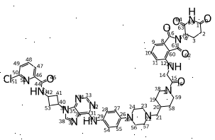 O=C1CC[C@H](N2C(=O)c3cccc(NCC(=O)N4CCC(CN5CCN(c6ccc(Nc7ncnc8c7ncn8C7CC(NC(=O)c8cccc(Cl)n8)C7)cc6)CC5)CC4)c3C2=O)C(=O)N1